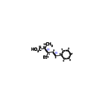 CCC(/C=C/c1ccccc1)=C(/C)C(=O)O